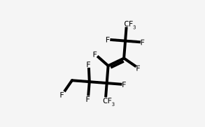 FCC(F)(F)C(F)(C(F)=C(F)C(F)(F)C(F)(F)F)C(F)(F)F